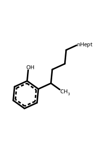 CCCCCCCCCCC(C)c1ccccc1O